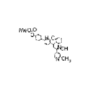 COC(=O)Oc1ccc(-c2ccc(C(CC(=NO)c3ccnc(C)c3)c3ccccc3C)cc2)cc1